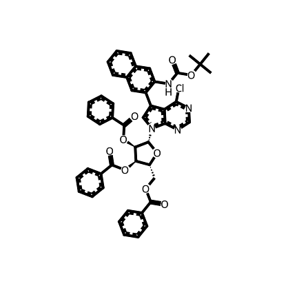 CC(C)(C)OC(=O)Nc1cc2ccccc2cc1-c1cn([C@@H]2O[C@H](COC(=O)c3ccccc3)[C@@H](OC(=O)c3ccccc3)[C@H]2OC(=O)c2ccccc2)c2ncnc(Cl)c12